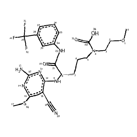 COCCN(CCC[C@H](Nc1nc(N)nc(SC)c1C#N)C(=O)Nc1cccc(C(F)(F)F)c1)C(=O)O